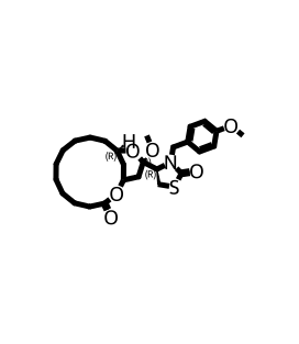 COc1ccc(CN2C(=O)SC[C@H]2[C@@]2(OC)CC3C[C@@H](CCCCCCCCCC(=O)O3)O2)cc1